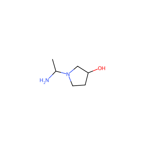 CC(N)N1CCC(O)C1